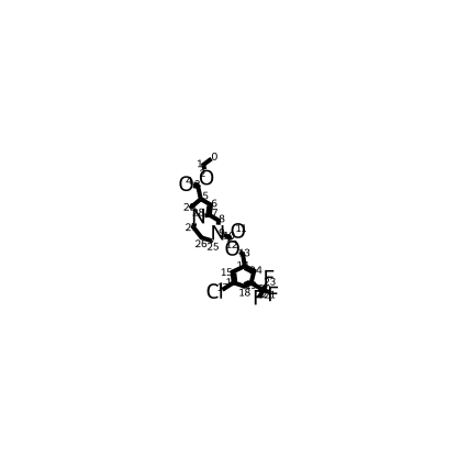 CCOC(=O)C1C=C2CN(C(=O)OCc3cc(Cl)cc(C(F)(F)F)c3)CCCN2C1